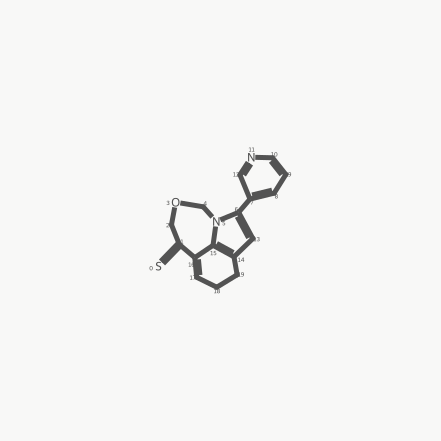 S=C1COCn2c(-c3cccnc3)cc3c2C1=CCC3